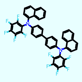 Fc1c(F)c(F)c(N(c2ccc(-c3ccc(N(c4c(F)c(F)c(F)c(F)c4F)c4cccc5ccccc45)cc3)cc2)c2cccc3ccccc23)c(F)c1F